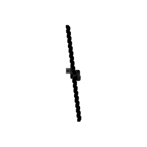 CCCCCCCCCCCCCCCCCCNC(=O)OC(=O)CCCCCCCCCCCCCCCCC